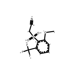 COc1cccc(C(F)(F)F)c1S(=O)(=O)CC#N